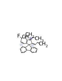 C=C/C=C1\C(=C/C)C(C=C)=C(/C=C\C(=C)F)C12c1ccccc1-c1ccccc12